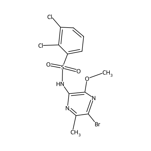 COc1nc(Br)c(C)nc1NS(=O)(=O)c1cccc(Cl)c1Cl